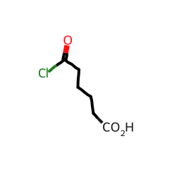 O=C(O)CCCCC(=O)Cl